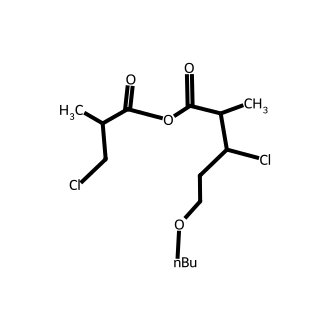 CCCCOCCC(Cl)C(C)C(=O)OC(=O)C(C)CCl